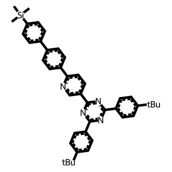 CC(C)(C)c1ccc(-c2nc(-c3ccc(C(C)(C)C)cc3)nc(-c3ccc(-c4ccc(-c5ccc([Si](C)(C)C)cc5)cc4)nc3)n2)cc1